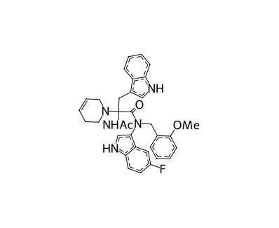 COc1ccccc1CN(C(=O)C(Cc1c[nH]c2ccccc12)(NC(C)=O)N1CC=CCC1)c1c[nH]c2ccc(F)cc12